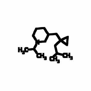 CC(C)CC1(CC2CCCN(C(C)C)C2)CC1